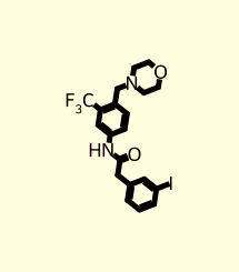 O=C(Cc1cccc(I)c1)Nc1ccc(CN2CCOCC2)c(C(F)(F)F)c1